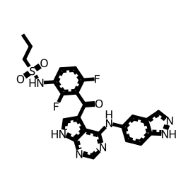 CCCS(=O)(=O)Nc1ccc(F)c(C(=O)c2c[nH]c3ncnc(Nc4ccc5[nH]ncc5c4)c23)c1F